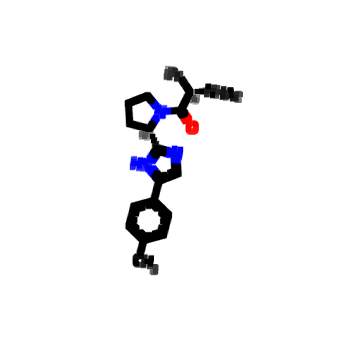 CC(=O)N[C@H](C(=O)N1CCC[C@H]1c1ncc(-c2ccc(C)cc2)[nH]1)C(C)C